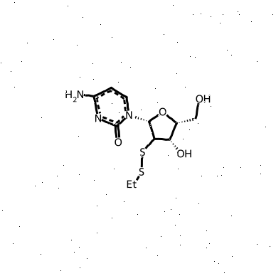 CCSSC1[C@@H](O)[C@@H](CO)O[C@H]1n1ccc(N)nc1=O